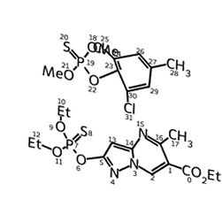 CCOC(=O)c1cn2nc(OP(=S)(OCC)OCC)cc2nc1C.COP(=S)(OC)Oc1c(Cl)cc(C)cc1Cl